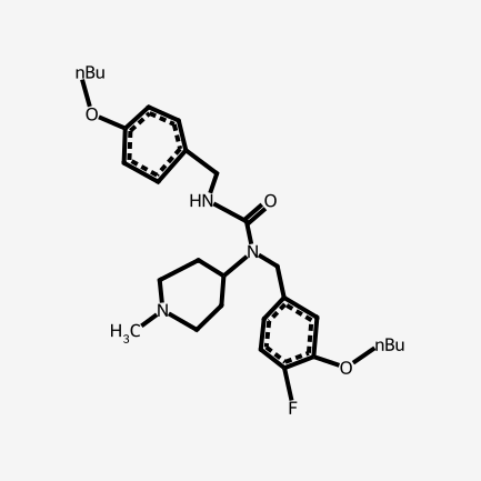 CCCCOc1ccc(CNC(=O)N(Cc2ccc(F)c(OCCCC)c2)C2CCN(C)CC2)cc1